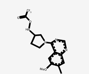 COc1cc2ncnc(N3CCC(NOC(=O)C(F)(F)F)C3)c2cc1OC